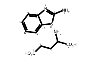 NC(CCC(=O)O)C(=O)O.Nc1nc2ccccc2s1